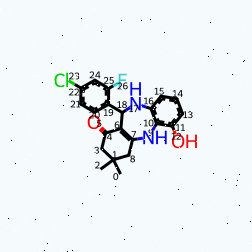 CC1(C)CC(=O)C2=C(C1)Nc1c(O)cccc1NC2c1ccc(Cl)cc1F